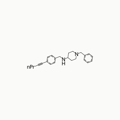 CCCC#Cc1ccc(CNC2CCN(Cc3ccccc3)CC2)cc1